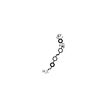 C=CCc1ccc(C2CCC(/C=C/C3CCC(C(F)(F)Oc4ccc(OC(F)(F)F)cc4)CC3)CC2)cc1